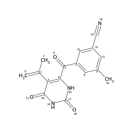 C=C(C)c1c(C(=O)c2cc(C)cc(C#N)c2)[nH]c(=O)[nH]c1=O